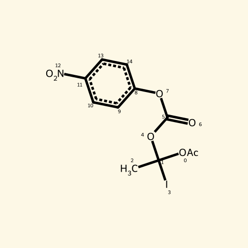 CC(=O)OC(C)(I)OC(=O)Oc1ccc([N+](=O)[O-])cc1